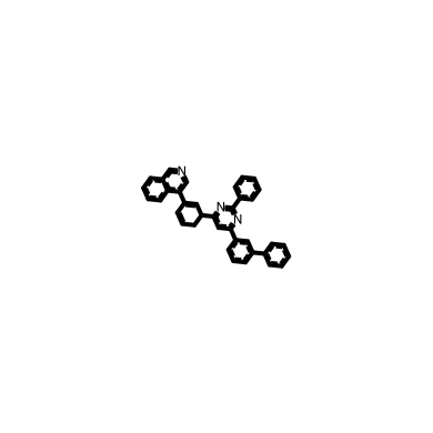 C1=CC(c2cncc3ccccc23)=CC(c2cc(-c3cccc(-c4ccccc4)c3)nc(-c3ccccc3)n2)C1